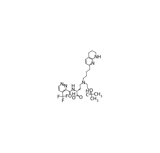 CC(C)(C)OCCN(CCCCc1ccc2c(n1)NCCC2)CC[C@H](NC(=O)c1nnccc1C(F)(F)F)C(=O)O